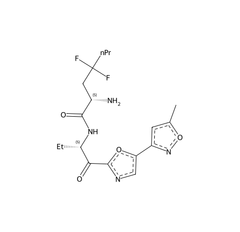 CCCC(F)(F)C[C@H](N)C(=O)N[C@@H](CC)C(=O)c1ncc(-c2cc(C)on2)o1